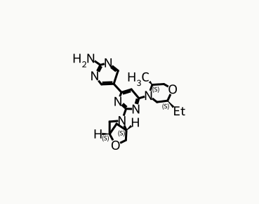 CC[C@H]1CN(c2cc(-c3cnc(N)nc3)nc(N3C[C@@H]4C[C@H]3CO4)n2)[C@@H](C)CO1